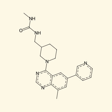 CNC(=O)NCC1CCCN(c2ncnc3c(C)cc(-c4cccnc4)cc23)C1